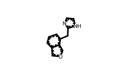 c1cc(Cc2ncc[nH]2)c2cocc2c1